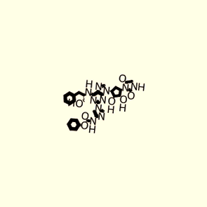 O=C(Nc1cn(-c2nc(N[C@H](CO)Cc3ccccc3)c3ncn([C@@H]4C[C@H](N5C(=O)CNC5=O)[C@@H](O)[C@H]4O)c3n2)cn1)Oc1ccccc1